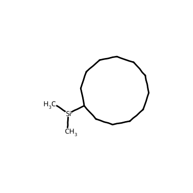 C[Si](C)C1CCCCCCCCCCC1